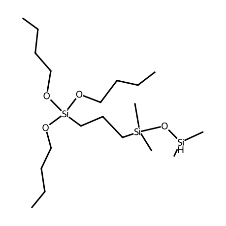 CCCCO[Si](CCC[Si](C)(C)O[SiH](C)C)(OCCCC)OCCCC